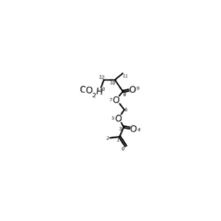 C=C(C)C(=O)OCOC(=O)C(C)CC(=O)O